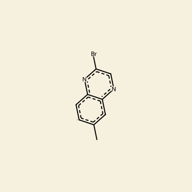 Cc1[c]cc2nc(Br)cnc2c1